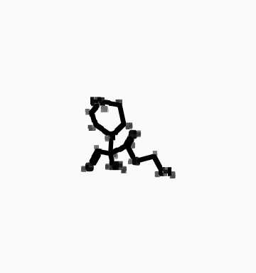 CCOC(=O)C(N)(C=O)N1CCNCC1